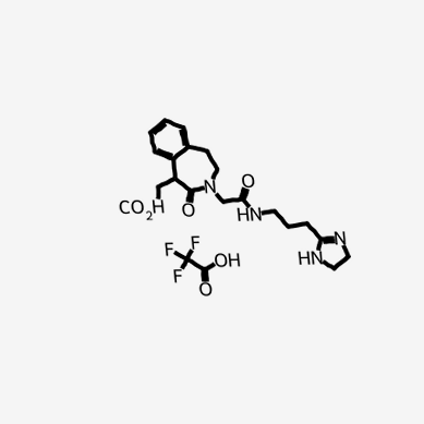 O=C(O)C(F)(F)F.O=C(O)CC1C(=O)N(CC(=O)NCCCC2=NCCN2)CCc2ccccc21